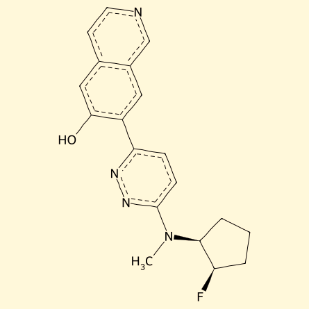 CN(c1ccc(-c2cc3cnccc3cc2O)nn1)[C@H]1CCC[C@H]1F